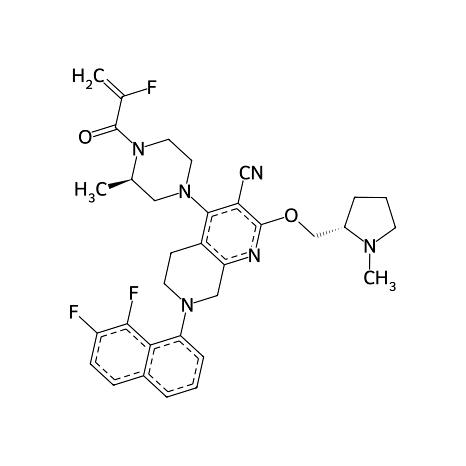 C=C(F)C(=O)N1CCN(c2c(C#N)c(OC[C@@H]3CCCN3C)nc3c2CCN(c2cccc4ccc(F)c(F)c24)C3)C[C@H]1C